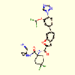 N=CC1(NC(=O)C2(NC(=O)c3cc4ccc(-c5ccc(-n6cncn6)c(OC(F)F)c5)cc4o3)CCC(F)(F)CC2)CC1